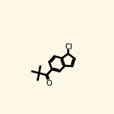 CC(C)(C)C(=O)c1ccc2c(c1)C=CC2Cl